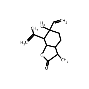 C=CC1(C)CCC2C(C)C(=O)OC2C1C(=C)C